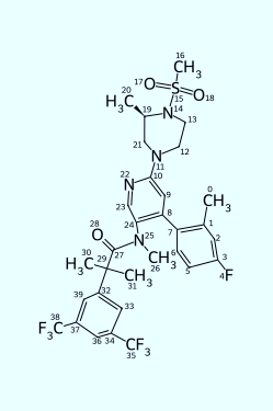 Cc1cc(F)ccc1-c1cc(N2CCN(S(C)(=O)=O)[C@H](C)C2)ncc1N(C)C(=O)C(C)(C)c1cc(C(F)(F)F)cc(C(F)(F)F)c1